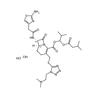 CC(C)CC(=O)OC(OC(=O)C1=C(CSc2nnnn2CCN(C)C)CS[C@H]2[C@H](NC(=O)Cc3csc(N)n3)C(=O)N12)C(C)C.Cl.Cl